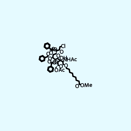 COC(=O)CCCCCCCCO[C@H]1O[C@H](COC(C)=O)[C@@H](O)[C@@](O)([C@@H]2O[C@H](C(O)C(=O)CCl)[C@H](OC(=O)c3ccccc3)[C@H](OC(=O)c3ccccc3)[C@H]2OC(=O)c2ccccc2)[C@@H]1NC(C)=O